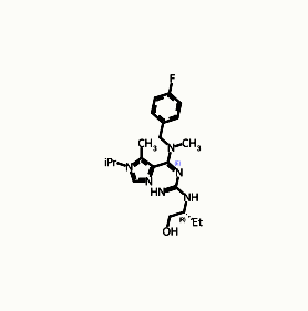 CC[C@H](CO)NC(=N)/N=C(\c1ncn(C(C)C)c1C)N(C)Cc1ccc(F)cc1